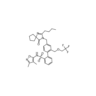 CCCCC1=NC2(CCCC2)C(=O)N1Cc1ccc(-c2ccccc2S(=O)(=O)Nc2onc(C)c2C)c(COCC(F)(F)F)c1